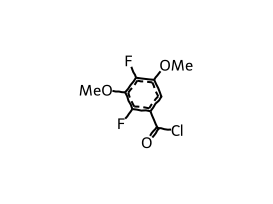 COc1cc(C(=O)Cl)c(F)c(OC)c1F